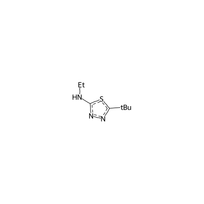 CCNc1nnc(C(C)(C)C)s1